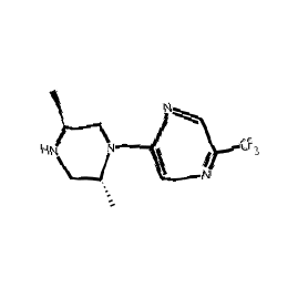 C[C@@H]1CN[C@@H](C)CN1c1cnc(C(F)(F)F)cn1